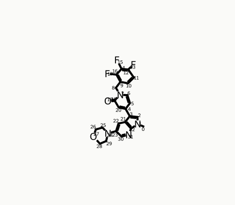 Cn1cc(-c2ccn(Cc3ccc(F)c(F)c3F)c(=O)c2)c2cc(N3CCOCC3)cnc21